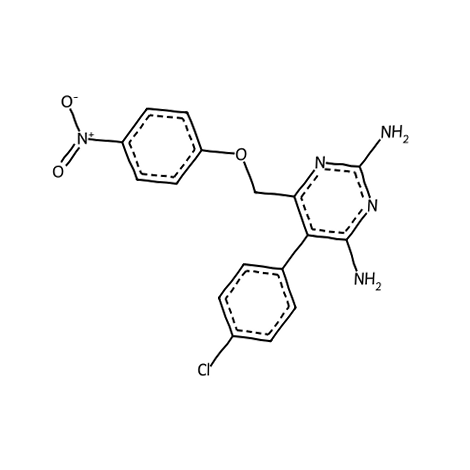 Nc1nc(N)c(-c2ccc(Cl)cc2)c(COc2ccc([N+](=O)[O-])cc2)n1